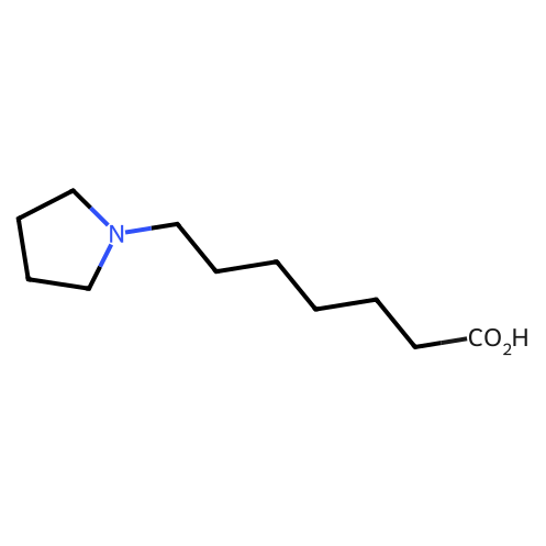 O=C(O)CCCCCCN1CCCC1